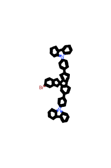 Brc1ccc2c(c1)CC1(C2)c2cc(-c3ccc(-n4c5ccccc5c5ccccc54)cc3)ccc2-c2ccc(-c3ccc(-n4c5ccccc5c5ccccc54)cc3)cc21